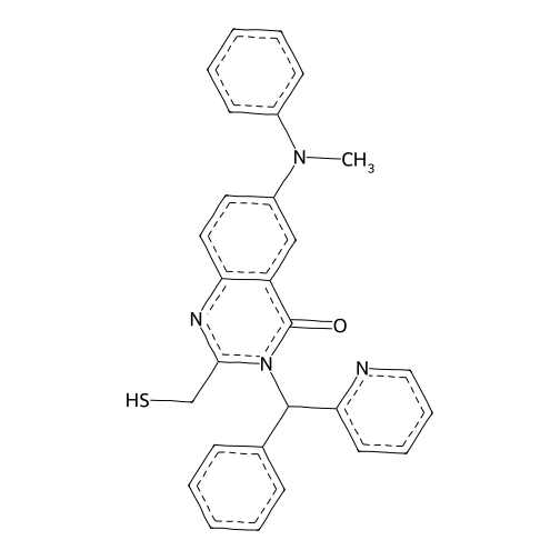 CN(c1ccccc1)c1ccc2nc(CS)n(C(c3ccccc3)c3ccccn3)c(=O)c2c1